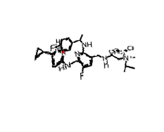 CC(Nc1nc(Nc2cc(C3CC3)[nH]n2)c(F)cc1CNC(=O)C[N@@+](C)(C(C)C)[SH](=O)=O)c1ccc(F)cc1